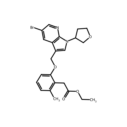 CCOC(=O)Cc1c(C)cccc1OCc1cn(C2CCOC2)c2ncc(Br)cc12